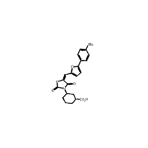 CC(C)(C)c1ccc(-c2ccc(/C=C3/SC(=S)N(C4CCCC(C(=O)O)C4)C3=O)o2)cc1